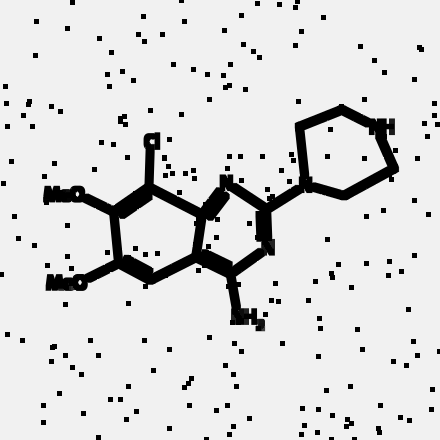 COc1cc2c(N)nc(N3CCNCC3)nc2c(Cl)c1OC